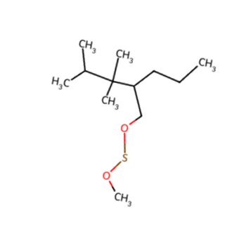 CCCC(COSOC)C(C)(C)C(C)C